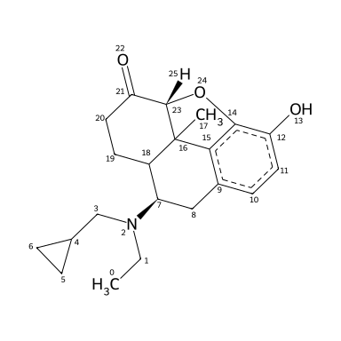 CCN(CC1CC1)[C@@H]1Cc2ccc(O)c3c2C2(C)C1CCC(=O)[C@@H]2O3